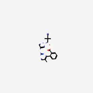 COC(=O)c1ccccc1-c1nc(Nc2cnn(CC(C)(C)C#N)c2)ncc1C